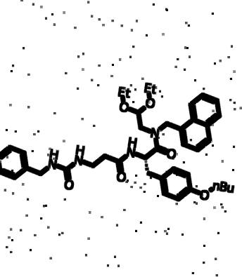 CCCCOc1ccc(C[C@H](NC(=O)CCNC(=O)NCc2ccccc2)C(=O)N(Cc2cccc3ccccc23)CC(OCC)OCC)cc1